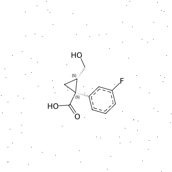 O=C(O)[C@@]1(c2cccc(F)c2)C[C@@H]1CO